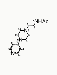 CC(=O)NCCN1CCN(c2ccncc2)CC1